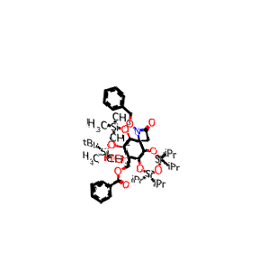 CC(C)[Si]1(C(C)C)OC2C(O[Si](C(C)C)(C(C)C)O1)[C@]1(CC(=O)N1OCc1ccccc1)[C@H](O[Si](C)(C)C)[C@H](O[Si](C)(C)C(C)(C)C)[C@]2(O)COC(=O)c1ccccc1